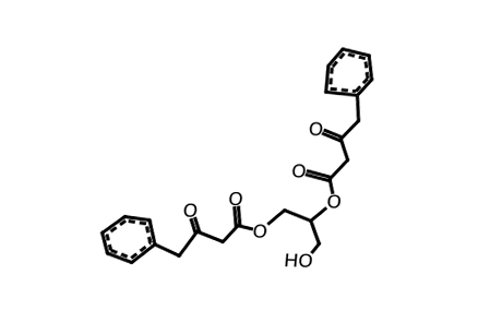 O=C(CC(=O)OCC(CO)OC(=O)CC(=O)Cc1ccccc1)Cc1ccccc1